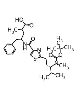 CC(C)[C@H](CCc1nc(C(=O)N[C@@H](Cc2ccccc2)C[C@@H](C)C(=O)O)cs1)N(C)C(=O)OC(C)(C)C